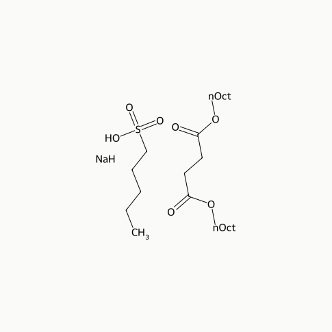 CCCCCCCCOC(=O)CCC(=O)OCCCCCCCC.CCCCCS(=O)(=O)O.[NaH]